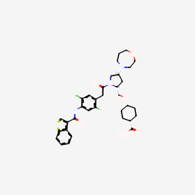 O=C(Nc1cc(Cl)c(CC(=O)N2C[C@@H](N3CCCOCC3)C[C@H]2CO[C@H]2CC[C@H](C(=O)O)CC2)cc1Cl)c1csc2ccccc12